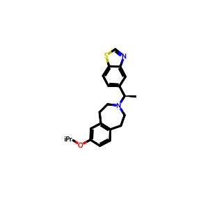 CC(C)Oc1ccc2c(c1)CCN([C@H](C)c1ccc3scnc3c1)CC2